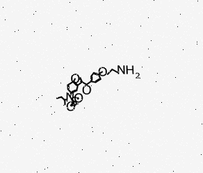 CCC(C)N(c1ccc2occ(C(=O)c3ccc(OCCCN)cc3)c2c1)S(C)(=O)=O